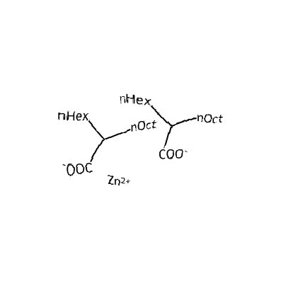 CCCCCCCCC(CCCCCC)C(=O)[O-].CCCCCCCCC(CCCCCC)C(=O)[O-].[Zn+2]